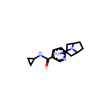 NC1CC2CCC(C1)N2c1ccc(C(=O)NC2CC2)cn1